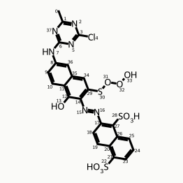 Cc1nc(Cl)nc(Nc2ccc3c(O)c(N=Nc4ccc5c(S(=O)(=O)O)cccc5c4S(=O)(=O)O)c(SOOO)cc3c2)n1